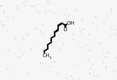 CCCCCCCC=C/C=C\C(=O)O